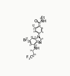 CCNC(=O)c1ccc(-n2cnc3c(NCCC(F)(F)F)cc(Br)cc32)cc1C